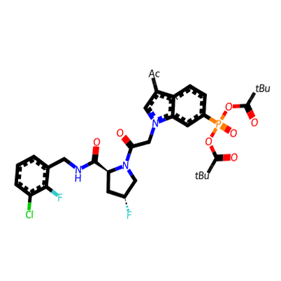 CC(=O)c1cn(CC(=O)N2C[C@H](F)C[C@H]2C(=O)NCc2cccc(Cl)c2F)c2cc(P(=O)(OC(=O)C(C)(C)C)OC(=O)C(C)(C)C)ccc12